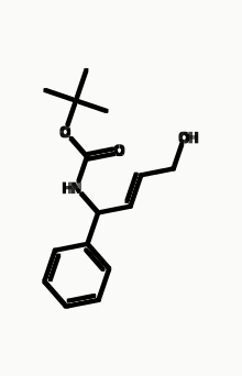 CC(C)(C)OC(=O)NC(C=CCO)c1ccccc1